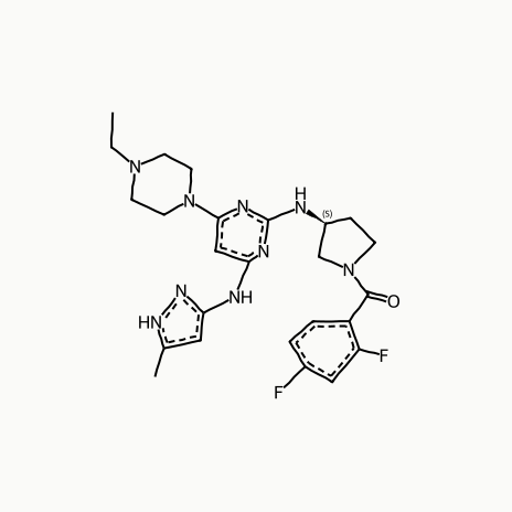 CCN1CCN(c2cc(Nc3cc(C)[nH]n3)nc(N[C@H]3CCN(C(=O)c4ccc(F)cc4F)C3)n2)CC1